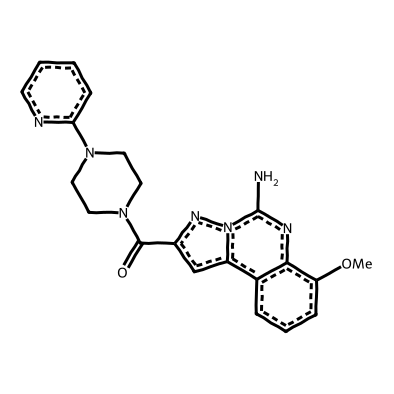 COc1cccc2c1nc(N)n1nc(C(=O)N3CCN(c4ccccn4)CC3)cc21